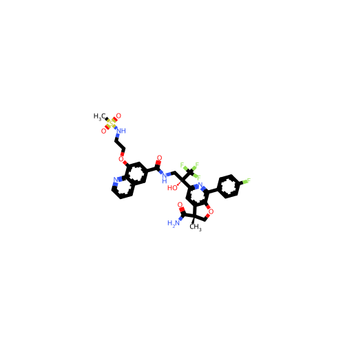 C[C@]1(C(N)=O)COc2c1cc([C@@](O)(CNC(=O)c1cc(OCCNS(C)(=O)=O)c3ncccc3c1)C(F)(F)F)nc2-c1ccc(F)cc1